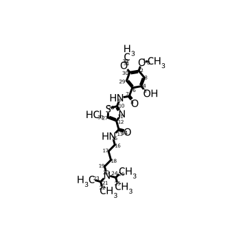 COc1cc(O)c(C(=O)Nc2nc(C(=O)NCCCCN(C(C)C)C(C)C)cs2)cc1OC.Cl